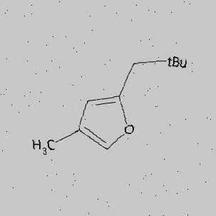 Cc1coc(CC(C)(C)C)c1